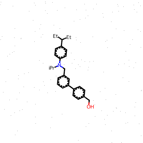 CCC(CC)c1ccc(N(Cc2cccc(-c3ccc(CO)cc3)c2)C(C)C)cc1